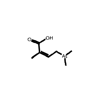 CC(=CC[As](C)C)C(=O)O